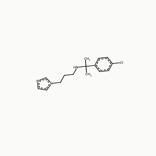 CC(C)(NCCCn1ccnc1)c1ccc(Cl)cc1